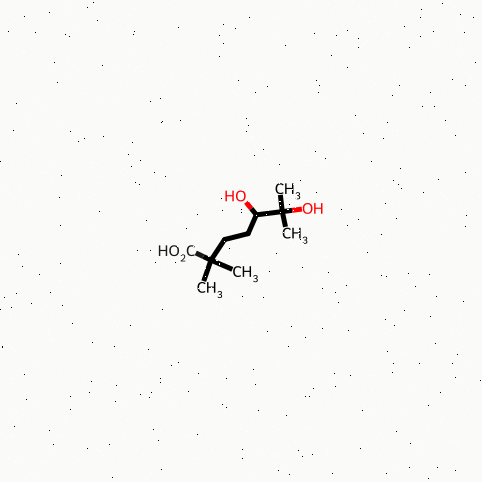 CC(C)(CCC(O)C(C)(C)O)C(=O)O